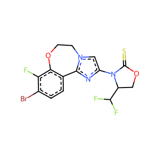 Fc1c(Br)ccc2c1OCCn1cc(N3C(=S)OCC3C(F)F)nc1-2